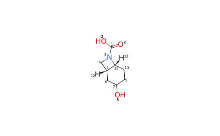 O=C(O)N1C[C@H]2CC(O)CC[C@H]21